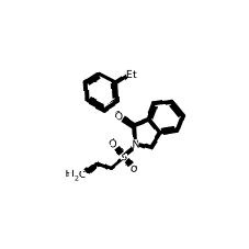 C=CCS(=O)(=O)N1Cc2ccccc2C1=O.CCc1ccccc1